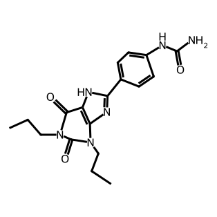 CCCn1c(=O)c2[nH]c(-c3ccc(NC(N)=O)cc3)nc2n(CCC)c1=O